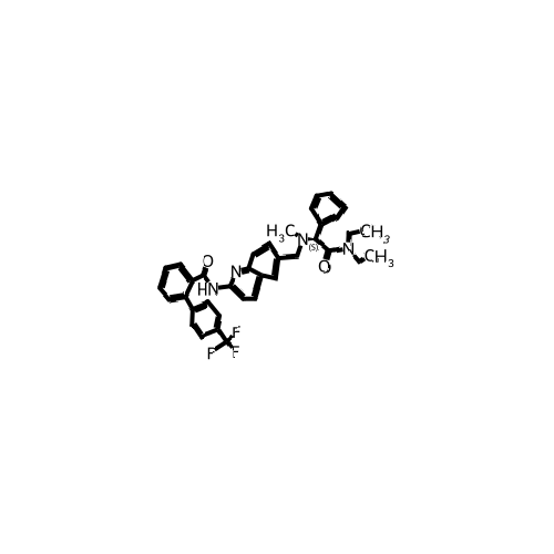 CCN(CC)C(=O)[C@H](c1ccccc1)N(C)Cc1ccc2nc(NC(=O)c3ccccc3-c3ccc(C(F)(F)F)cc3)ccc2c1